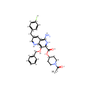 CC(=O)N1CCC(OC(=O)c2nc(N)c3cc(Cc4ccc(F)cc4)cnc3c2OCc2ccccc2)CC1